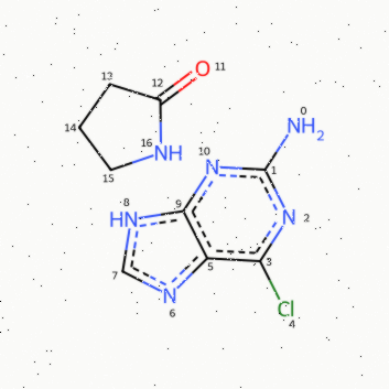 Nc1nc(Cl)c2nc[nH]c2n1.O=C1CCCN1